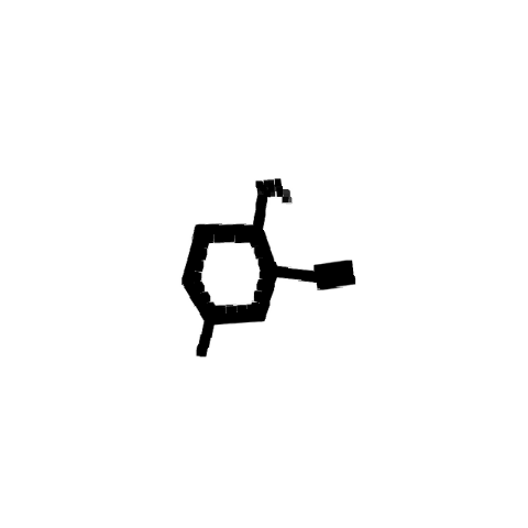 C#Cc1cc(C)ccc1N